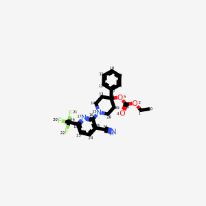 CCOC(=O)OC1(c2ccccc2)CCN(c2nc(C(F)(F)F)ccc2C#N)CC1